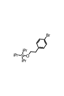 CC(C)[Si](OCCc1ccc(Br)cc1)(C(C)C)C(C)C